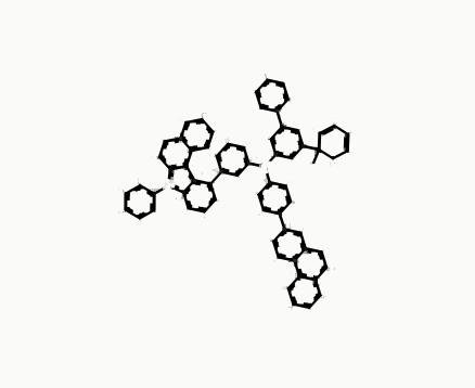 CC1(c2cc(-c3ccccc3)cc(N(c3ccc(-c4ccc5c(ccc6ccccc65)c4)cc3)c3cccc(-c4cccc5c4c4c6ccccc6ccc4n5-c4ccccc4)c3)c2)C=CC=CC1